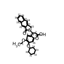 CCOc1cc(C(CC(=O)O)N2Cc3cc4ccccc4cc3C2=O)ccc1OC1CCCCC1